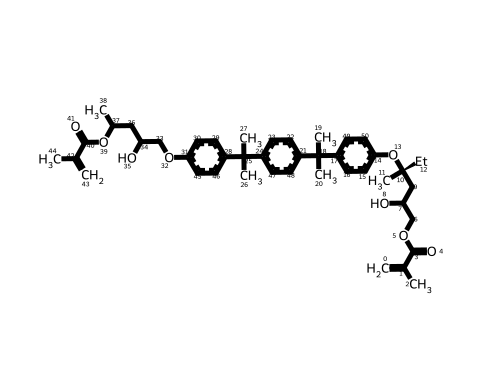 C=C(C)C(=O)OCC(O)C[C@@](C)(CC)Oc1ccc(C(C)(C)c2ccc(C(C)(C)c3ccc(OCC(O)CC(C)OC(=O)C(=C)C)cc3)cc2)cc1